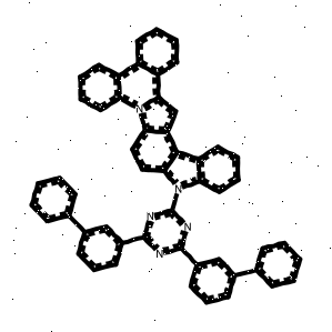 c1ccc(-c2cccc(-c3nc(-c4cccc(-c5ccccc5)c4)nc(-n4c5ccccc5c5c6cc7c8ccccc8c8ccccc8n7c6ccc54)n3)c2)cc1